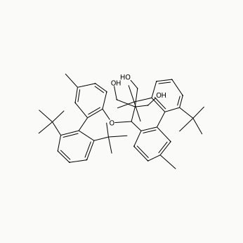 Cc1ccc(OC(c2ccc(C)cc2-c2c(C(C)(C)C)cccc2C(C)(C)C)C(CO)(CO)CO)c(-c2c(C(C)(C)C)cccc2C(C)(C)C)c1